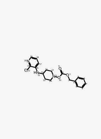 O=C(OCc1ccccc1)ON1CCC(Nc2cccnc2Cl)CC1